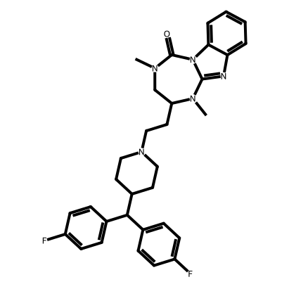 CN1CC(CCN2CCC(C(c3ccc(F)cc3)c3ccc(F)cc3)CC2)N(C)c2nc3ccccc3n2C1=O